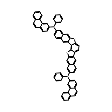 c1ccc(N(c2ccc3cc4c(cc3c2)oc2c4ccc3oc4cc5cc(N(c6ccccc6)c6ccc7ccc8ccccc8c7c6)ccc5cc4c32)c2ccc3ccc4ccccc4c3c2)cc1